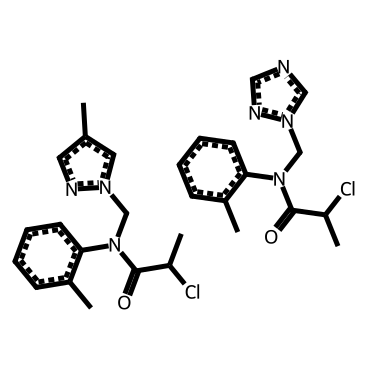 Cc1ccccc1N(Cn1cncn1)C(=O)C(C)Cl.Cc1cnn(CN(C(=O)C(C)Cl)c2ccccc2C)c1